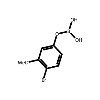 COc1cc(OB(O)O)ccc1Br